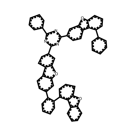 c1ccc(-c2nc(-c3ccc4c(c3)oc3cc(-c5ccccc5-c5cccc6oc7ccccc7c56)ccc34)nc(-c3ccc4c(c3)oc3cccc(-c5ccccc5)c34)n2)cc1